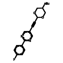 CCCCC1COC(C#Cc2cnc(-c3ccc(F)cc3)nc2)OC1